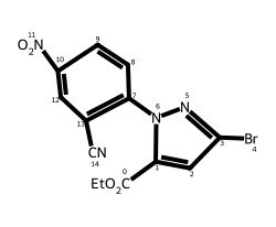 CCOC(=O)c1cc(Br)nn1-c1ccc([N+](=O)[O-])cc1C#N